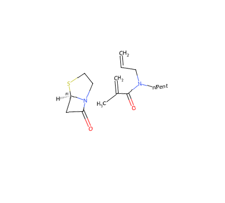 C=CCN(CCCCC)C(=O)C(=C)C.O=C1C[C@H]2SCCN12